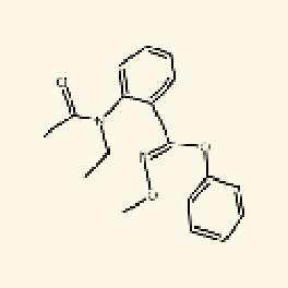 CCN(C(C)=O)c1ccccc1C(=NOC)Oc1ccccc1